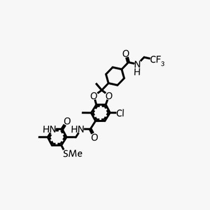 CSc1cc(C)[nH]c(=O)c1CNC(=O)c1cc(Cl)c2c(c1C)OC(C)(C1CCC(C(=O)NCC(F)(F)F)CC1)O2